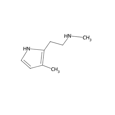 CNCCc1[nH]ccc1C